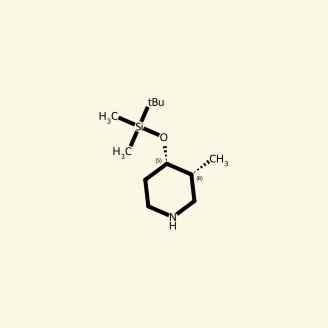 C[C@@H]1CNCC[C@@H]1O[Si](C)(C)C(C)(C)C